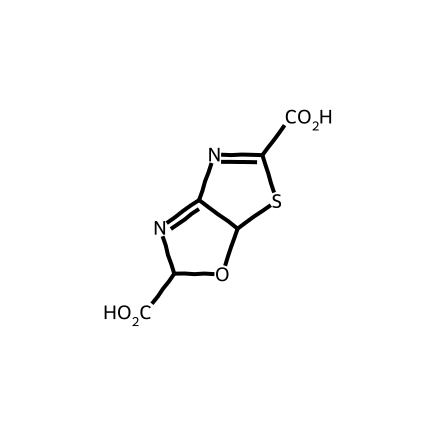 O=C(O)C1=NC2=NC(C(=O)O)OC2S1